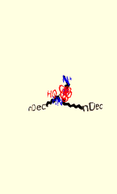 CCCCCCCCCCCCC/C=C/[C@@H](O)[C@H](COP(=O)([O-])OCC[N+](C)(C)C)NC(=O)CCCCCCCCCCCCCCCCC